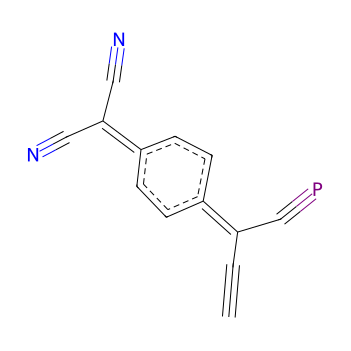 C#CC(C#P)=c1ccc(=C(C#N)C#N)cc1